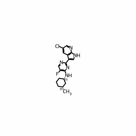 C[C@@H]1CCC[C@H](Nc2nc(-c3c[nH]c4ncc(Cl)cc34)ncc2F)C1